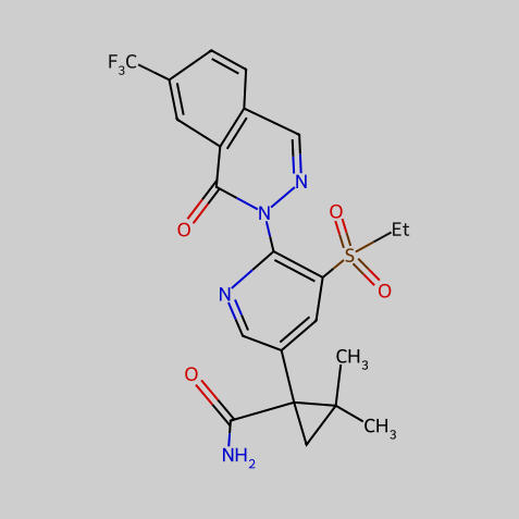 CCS(=O)(=O)c1cc(C2(C(N)=O)CC2(C)C)cnc1-n1ncc2ccc(C(F)(F)F)cc2c1=O